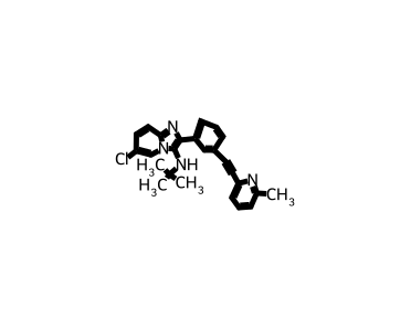 Cc1cccc(C#Cc2cccc(-c3nc4ccc(Cl)cn4c3NC(C)(C)C)c2)n1